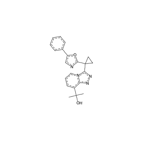 CC(C)(O)c1cccn2c(C3(c4ncc(-c5ccccc5)o4)CC3)nnc12